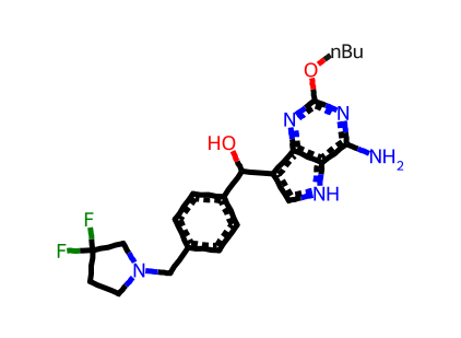 CCCCOc1nc(N)c2[nH]cc(C(O)c3ccc(CN4CCC(F)(F)C4)cc3)c2n1